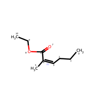 CCC/C=C(/C)C(=O)OCC